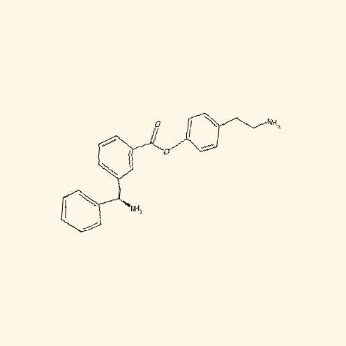 NCCc1ccc(OC(=O)c2cccc([C@@H](N)c3ccccc3)c2)cc1